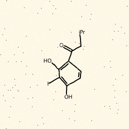 CC(C)CC(=O)c1ccc(O)c(I)c1O